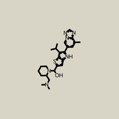 Cc1cc(-c2[nH]c3cc(C(O)N4CCCCC4CN(C)C)sc3c2C(C)C)cn2ncnc12